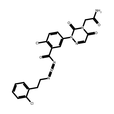 NC(=O)Cn1c(=O)cnn(-c2ccc(Cl)c(C(=O)N=[N+]=NCCc3ccccc3Cl)c2)c1=O